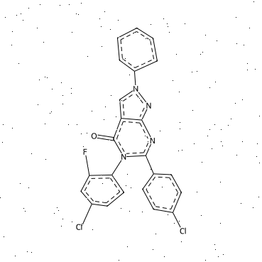 O=c1c2cn(-c3ccccc3)nc2nc(-c2ccc(Cl)cc2)n1-c1ccc(Cl)cc1F